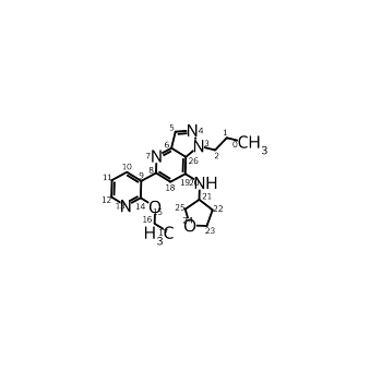 CCCn1ncc2nc(-c3cccnc3OCC)cc(NC3CCOC3)c21